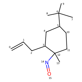 C=CCC1CC(C(C)(C)C)CCC1(C)N=O